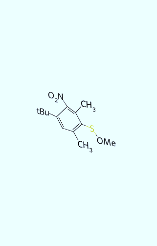 COSc1c(C)cc(C(C)(C)C)c([N+](=O)[O-])c1C